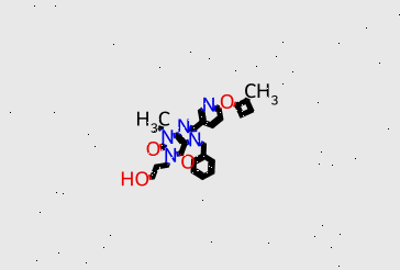 CCn1c(=O)n(CCCO)c(=O)c2c1nc(-c1ccc(OC3CCC3C)nc1)n2Cc1ccccc1